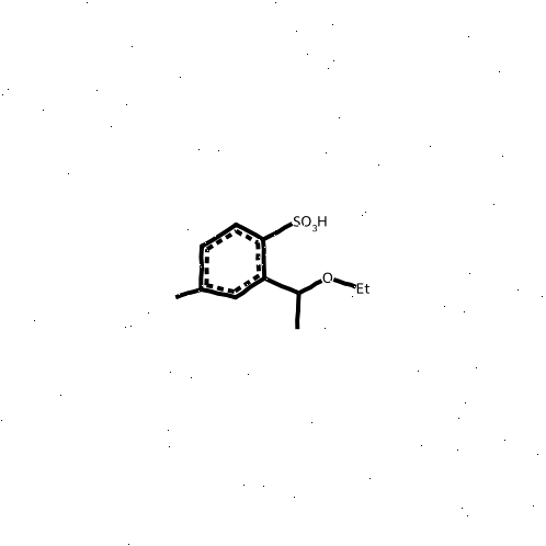 CCOC(C)c1cc(C)ccc1S(=O)(=O)O